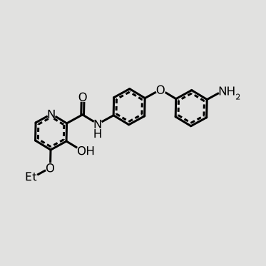 CCOc1ccnc(C(=O)Nc2ccc(Oc3cccc(N)c3)cc2)c1O